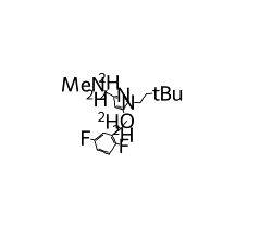 [2H]C([2H])(NC)c1cc(OC([2H])([2H])c2cc(F)ccc2F)n(CCC(C)(C)C)n1